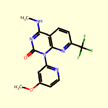 CNc1nc(=O)n(-c2cc(OC)ccn2)c2nc(C(F)(F)F)ccc12